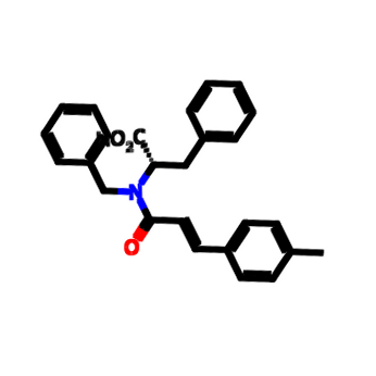 Cc1ccc(C=CC(=O)N(Cc2ccccc2)[C@@H](Cc2ccccc2)C(=O)O)cc1